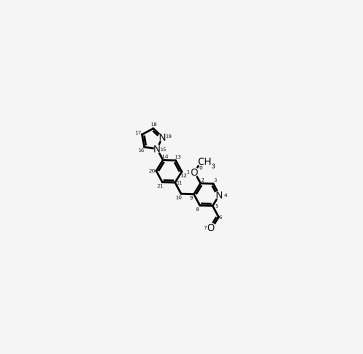 COc1cnc(C=O)cc1Cc1ccc(-n2cccn2)cc1